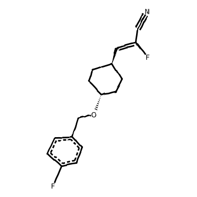 N#CC(F)=C[C@H]1CC[C@H](OCc2ccc(F)cc2)CC1